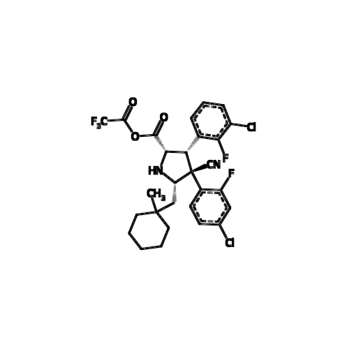 CC1(C[C@@H]2N[C@H](C(=O)OC(=O)C(F)(F)F)[C@H](c3cccc(Cl)c3F)[C@]2(C#N)c2ccc(Cl)cc2F)CCCCC1